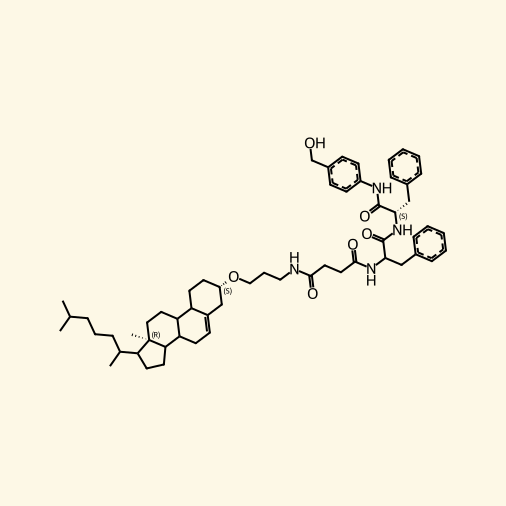 CC(C)CCCC(C)C1CCC2C3CC=C4C[C@@H](OCCCNC(=O)CCC(=O)NC(Cc5ccccc5)C(=O)N[C@@H](Cc5ccccc5)C(=O)Nc5ccc(CO)cc5)CCC4C3CC[C@]12C